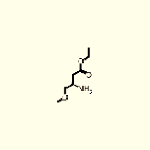 CCOC(=O)C[C@@H](N)COC